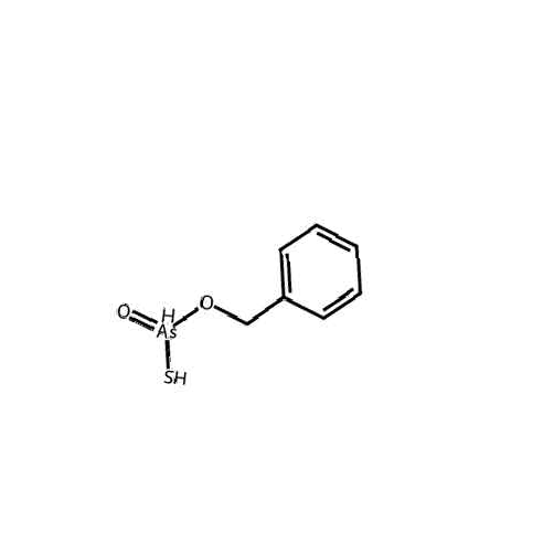 O=[AsH](S)OCc1ccccc1